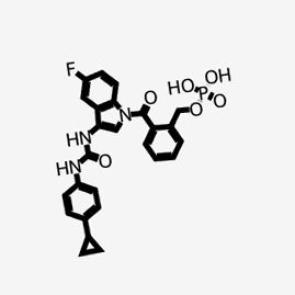 O=C(Nc1ccc(C2CC2)cc1)Nc1cn(C(=O)c2ccccc2COP(=O)(O)O)c2ccc(F)cc12